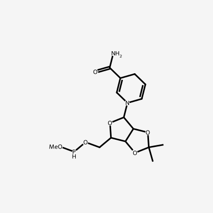 COPOCC1OC(N2C=CCC(C(N)=O)=C2)C2OC(C)(C)OC12